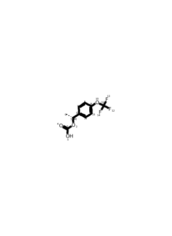 C[C@@H](OC(=O)O)c1ccc(OC(F)(F)F)cc1